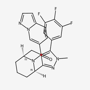 Cn1nc2c(c1-c1cc(F)c(F)c(F)c1)C[C@@H]1CCC[C@H]2N1C(=O)c1ccc2ccnn2c1